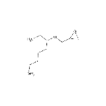 CCC(CCCC[SiH3])OCC1CO1